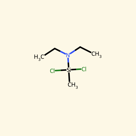 CCN(CC)[Si](C)(Cl)Cl